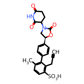 C#CCc1c(S(=O)(=O)O)ccc(C)c1-c1ccc([C@H]2CN(C3CCC(=O)NC3=O)C(=O)O2)cc1